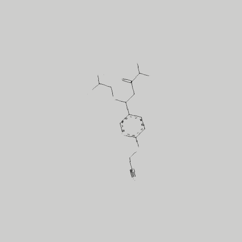 CC(C)CSC(CC(=O)C(C)C)c1ccc(OCC#N)nc1